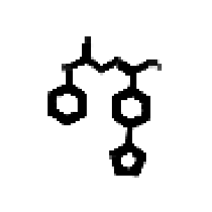 C/C(=N/OC(=O)Nc1ccccc1)c1ccc(-c2cccs2)cc1